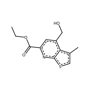 CCOC(=O)c1cc(CO)c2c(C)csc2n1